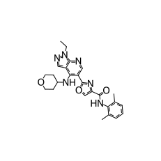 CCn1ncc2c(NC3CCOCC3)c(-c3nc(C(=O)Nc4c(C)cccc4C)co3)cnc21